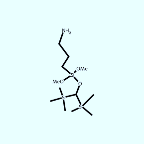 CO[Si](CCCN)(OC)OC([Si](C)(C)C)[Si](C)(C)C